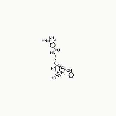 N=C(N)c1ccc(C(=O)NCCCCC(=O)N[C@@H](CC(=O)O)C(=O)N[C@@H](Cc2ccccc2)C(=O)O)cc1